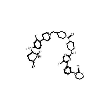 O=C1CCC(Nc2ccc(C3CCN(CC4CCN(C(=O)[C@H]5CC[C@H](Nc6ncc(F)c(-c7cccc(N8CCCCC8=O)c7)n6)CC5)CC4)CC3)c(F)c2)C(=O)N1